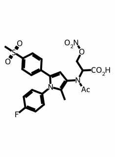 CC(=O)N(c1cc(-c2ccc(S(C)(=O)=O)cc2)n(-c2ccc(F)cc2)c1C)C(CO[N+](=O)[O-])C(=O)O